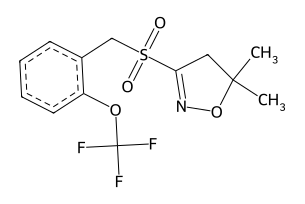 CC1(C)CC(S(=O)(=O)Cc2ccccc2OC(F)(F)F)=NO1